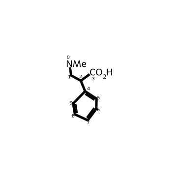 CNCC(C(=O)O)c1ccccc1